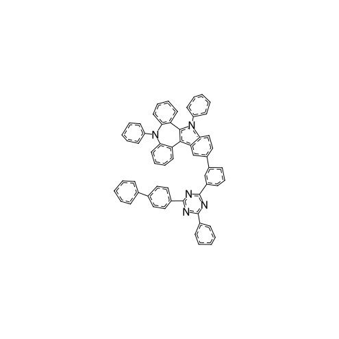 c1ccc(-c2ccc(-c3nc(-c4ccccc4)nc(-c4cccc(-c5ccc6c(c5)c5c(n6-c6ccccc6)-c6ccccc6N(c6ccccc6)c6ccccc6-5)c4)n3)cc2)cc1